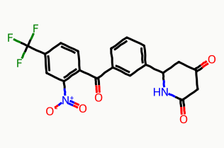 O=C1CC(=O)NC(c2cccc(C(=O)c3ccc(C(F)(F)F)cc3[N+](=O)[O-])c2)C1